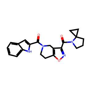 O=C(c1cc2ccccc2[nH]1)N1CCc2onc(C(=O)N3CCCC34CC4)c2C1